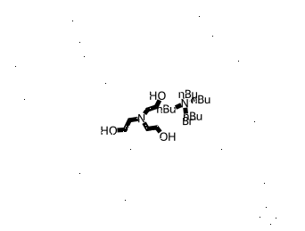 CCCC[N+](CCCC)(CCCC)CCCC.OCCN(CCO)CCO.[Br-]